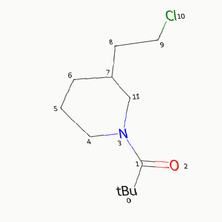 CC(C)(C)C(=O)N1CCCC(CCCl)C1